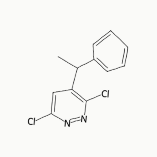 CC(c1ccccc1)c1cc(Cl)nnc1Cl